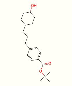 CC(C)(C)OC(=O)c1ccc(CCCC2CCC(O)CC2)cc1